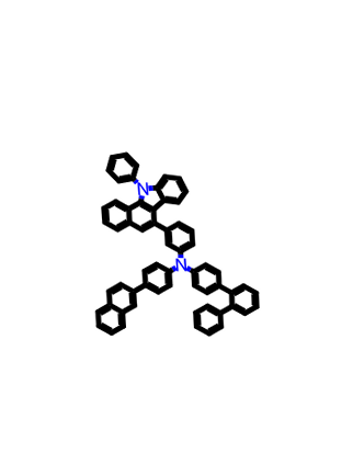 c1ccc(-c2ccccc2-c2ccc(N(c3ccc(-c4ccc5ccccc5c4)cc3)c3cccc(-c4cc5ccccc5c5c4c4ccccc4n5-c4ccccc4)c3)cc2)cc1